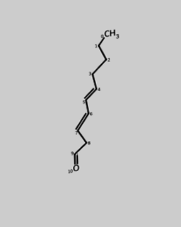 CCCC/C=C/C=C/C[C]=O